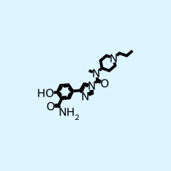 CCCN1CCC(N(C)C(=O)n2cnc(-c3ccc(O)c(C(N)=O)c3)c2)CC1